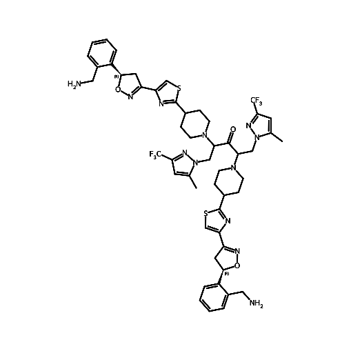 Cc1cc(C(F)(F)F)nn1CC(C(=O)C(Cn1nc(C(F)(F)F)cc1C)N1CCC(c2nc(C3=NO[C@@H](c4ccccc4CN)C3)cs2)CC1)N1CCC(c2nc(C3=NO[C@@H](c4ccccc4CN)C3)cs2)CC1